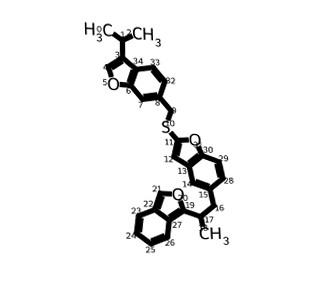 CC(C)c1coc2cc(CSc3cc4cc(CC(C)c5occ6ccccc56)ccc4o3)ccc12